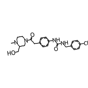 CN1CCN(C(=O)Cc2ccc(NC(=O)NCc3ccc(Cl)cc3)cc2)CC1CO